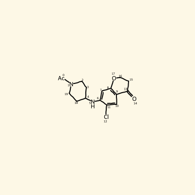 CC(=O)N1CCC(Nc2cc3c(cc2Cl)C(=O)CCO3)CC1